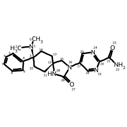 CN(C)[C@]1(c2ccccc2)CC[C@@]2(CC1)CN(c1cnc(C(N)=O)nc1)C(=O)N2